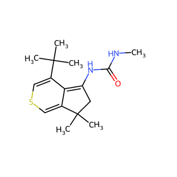 CNC(=O)NC1=C2C(C(C)(C)C)=CSC=C2C(C)(C)C1